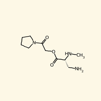 CN[C@H](CN)C(=O)OCC(=O)N1CCCC1